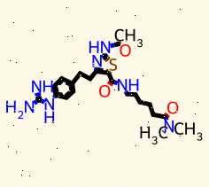 CC(=O)Nc1nc(CCc2ccc(NC(=N)N)cc2)c(C(=O)NCCCCCC(=O)N(C)C)s1